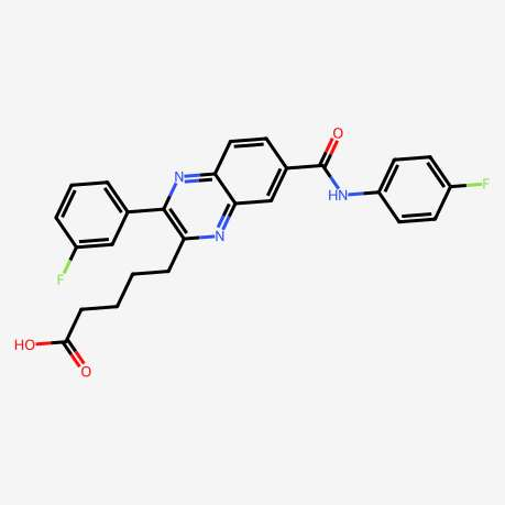 O=C(O)CCCCc1nc2cc(C(=O)Nc3ccc(F)cc3)ccc2nc1-c1cccc(F)c1